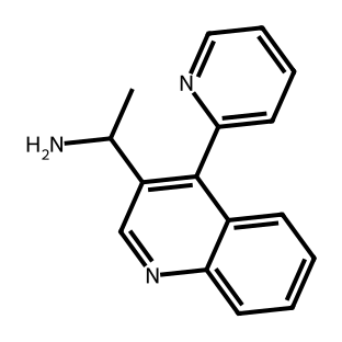 CC(N)c1cnc2ccccc2c1-c1ccccn1